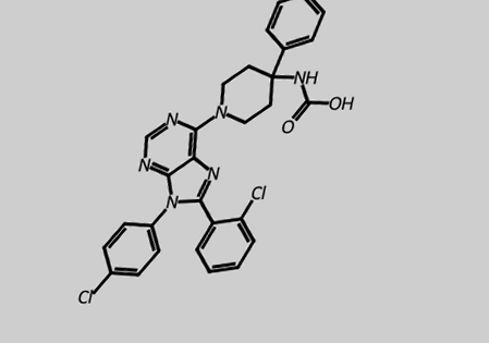 O=C(O)NC1(c2ccccc2)CCN(c2ncnc3c2nc(-c2ccccc2Cl)n3-c2ccc(Cl)cc2)CC1